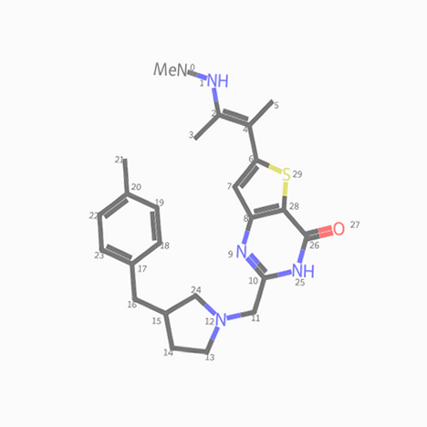 CNN/C(C)=C(\C)c1cc2nc(CN3CCC(Cc4ccc(C)cc4)C3)[nH]c(=O)c2s1